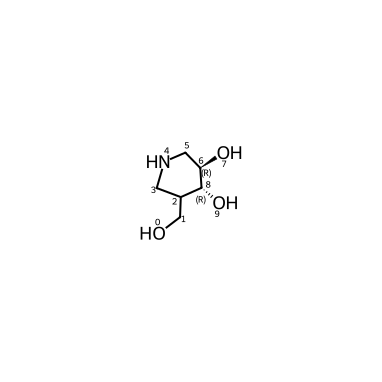 OCC1CNC[C@@H](O)[C@@H]1O